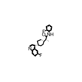 C[C@@H](C(=O)Nc1ccccc1F)[C@H]1CC[C@@H](c2ccnc3ccc(F)cc32)CC1